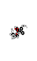 COc1ccc(C(OC[C@@]23CO[C@@H]([C@H](n4cc(C)c(=O)[nH]c4=O)O2)[C@H]3OCc2ccccc2)(c2ccccc2)c2ccc(OC)cc2)cc1